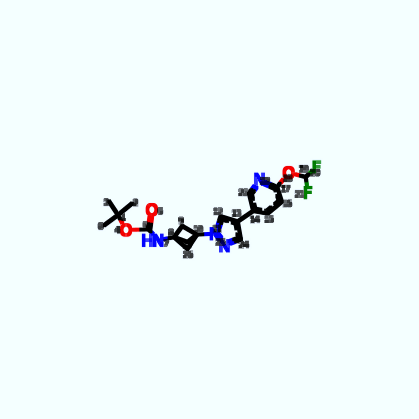 CC(C)(C)OC(=O)NC12CC(n3cc(-c4ccc(OC(F)F)nc4)cn3)(C1)C2